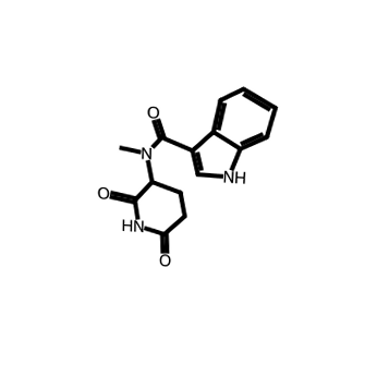 CN(C(=O)c1c[nH]c2ccccc12)C1CCC(=O)NC1=O